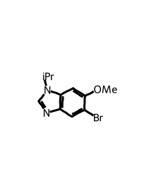 COc1cc2c(cc1Br)ncn2C(C)C